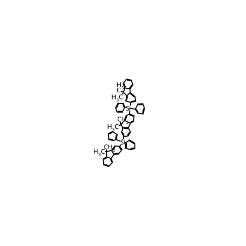 CC1(C)c2ccccc2-c2ccc([Si](c3ccccc3)(c3ccccc3)c3ccc4c(c3)C(C)(C)c3cc([Si](c5ccccc5)(c5ccccc5)c5ccc6c(c5)C(C)(C)c5ccccc5-6)ccc3-4)cc21